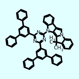 CC1(C)c2ccccc2-n2cc3c4ccccc4n(-c4nc(-c5cc(-c6ccccc6)cc(-c6ccccc6)c5)nc(-c5cc(-c6ccccc6)cc(-c6ccccc6)c5)n4)c3c21